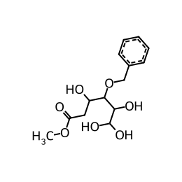 COC(=O)CC(O)C(OCc1ccccc1)C(O)C(O)O